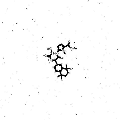 COC(=O)c1ccc(NC(=O)C(NC(=O)OC(C)(C)C)c2ccc3c(c2)C(C)(C)CCC3(C)C)n1C